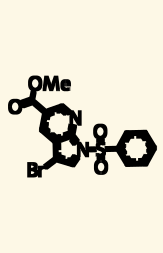 COC(=O)c1cnc2c(c1)c(Br)cn2S(=O)(=O)c1ccccc1